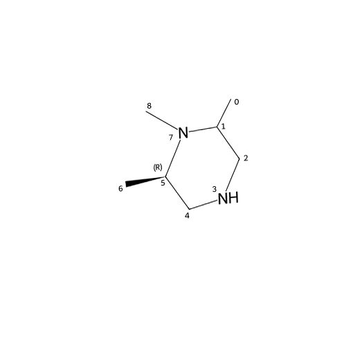 CC1CNC[C@@H](C)N1C